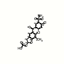 Cc1c(Cl)c(C(=O)c2ccc(Cl)c(S(N)(=O)=O)c2)cc2c1OC(OC(=O)O)C2